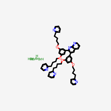 Br.Br.Br.Br.c1ccc(CCCCOc2cc(OCCCCc3ccccn3)cc(-c3cc4cccnc4nc3-c3cc(OCCCCc4ccccn4)cc(OCCCCc4ccccn4)c3)c2)nc1